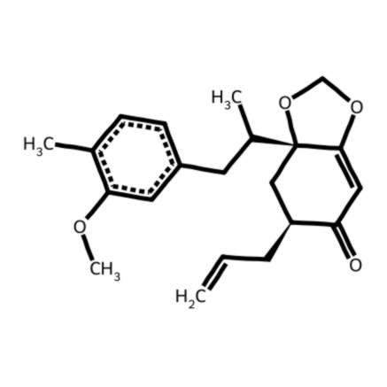 C=CC[C@H]1C[C@]2(C(C)Cc3ccc(C)c(OC)c3)OCOC2=CC1=O